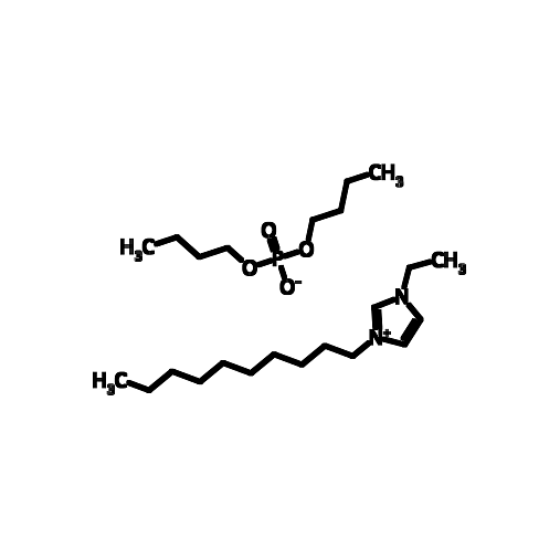 CCCCCCCCCC[n+]1ccn(CC)c1.CCCCOP(=O)([O-])OCCCC